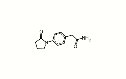 NC(=O)Cc1ccc(N2CCCC2=O)cc1